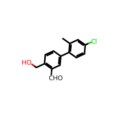 Cc1cc(Cl)ccc1-c1ccc(CO)c(C=O)c1